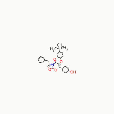 CC(C)(C)c1ccc(O[C@@H](Cc2ccc(O)cc2)C(=O)N2C(=O)OC[C@@H]2Cc2ccccc2)cc1